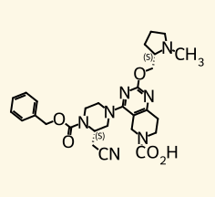 CN1CCC[C@H]1COc1nc2c(c(N3CCN(C(=O)OCc4ccccc4)[C@@H](CC#N)C3)n1)CN(C(=O)O)CC2